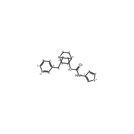 O=C(Nc1ccsc1)OC1C2CCN(CC2)C1Cc1cccnc1